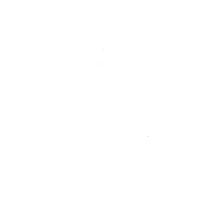 O=C1C(Cl)=C/C(=C(\c2cc(Cl)c(O)c(Br)c2)c2ccccc2S(=O)(=O)O)C=C1Br